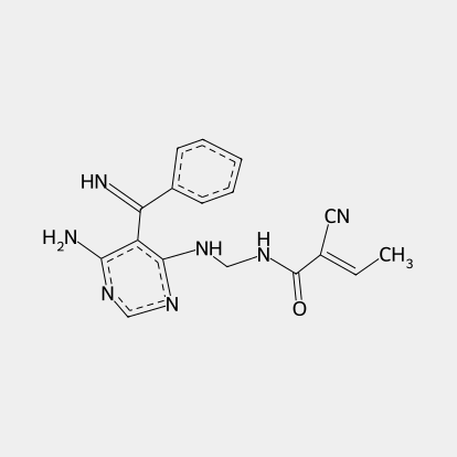 C/C=C(\C#N)C(=O)NCNc1ncnc(N)c1C(=N)c1ccccc1